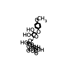 COc1ccc(O[C@@H]2O[C@H](COP(=O)(O)OP(=O)(O)OP(=O)(O)O)[C@@H](O)[C@H]2O)cc1